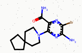 NC(=O)c1nc(Br)c(N)nc1N1CCC2(CCCC2)CC1